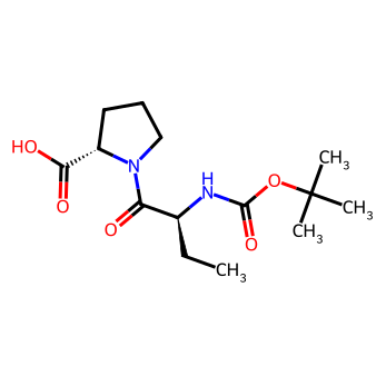 CC[C@H](NC(=O)OC(C)(C)C)C(=O)N1CCC[C@H]1C(=O)O